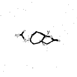 CC(=O)O[C@@H]1/C=C\C[C@H]2OC(=O)C[C@@H]2CC1